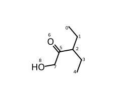 CCC(CC)C(=O)CO